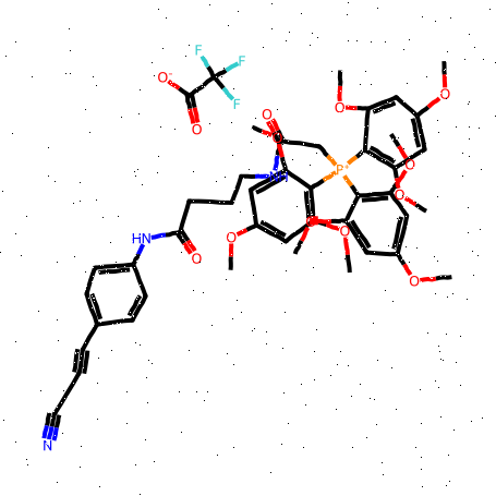 COc1cc(OC)c([P+](CC(=O)NCCCC(=O)Nc2ccc(C#CC#N)cc2)(c2c(OC)cc(OC)cc2OC)c2c(OC)cc(OC)cc2OC)c(OC)c1.O=C([O-])C(F)(F)F